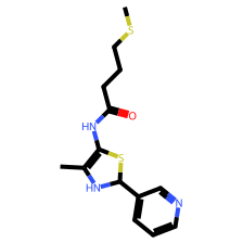 CSCCCC(=O)NC1=C(C)NC(c2cccnc2)S1